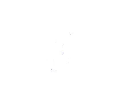 NCC(=O)N1CCCC2(C1)NCCS2